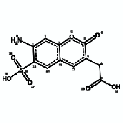 Nc1cc2oc(=O)c(CC(=O)O)cc2cc1S(=O)(=O)O